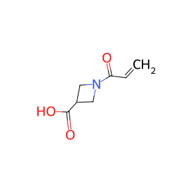 C=CC(=O)N1CC(C(=O)O)C1